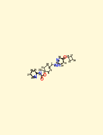 O=C1O[C@]2(CC[C@H](CNc3ccc(OC4CCC4)cn3)CC2)CN1c1ccccn1